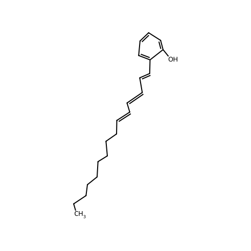 CCCCCCCCCC=CC=CC=Cc1ccccc1O